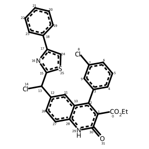 CCOC(=O)c1c(-c2cccc(Cl)c2)c2cc(C(Cl)c3nc(-c4ccccc4)cs3)ccc2[nH]c1=O